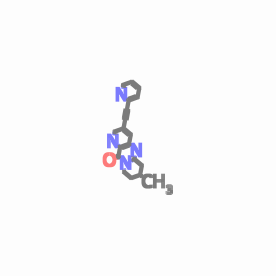 CC1CCn2c(nc3cc(C#Cc4ccccn4)cnc3c2=O)C1